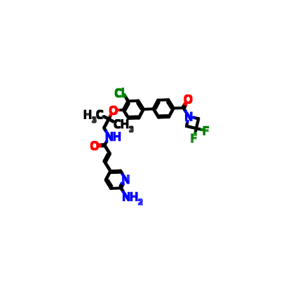 CC(C)(CNC(=O)C=Cc1ccc(N)nc1)Oc1ccc(-c2ccc(C(=O)N3CC(F)(F)C3)cc2)cc1Cl